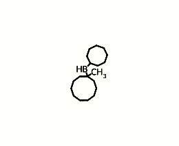 CC1(BC2CCCCCCC2)CCCCCCCCC1